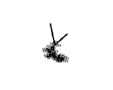 CCCCCCCCCCCCC/C=C/[C@@H](O)[C@H](CO[C@@H]1OC(CO)[C@@H](O[C@@H]2OC(CO)[C@H](O)[C@H](O[C@@H]3OC(CO)[C@@H](O[C@@H]4OC(CO)[C@H](O)[C@H](O[C@@H]5OC(CO)[C@@H](O[C@@H]6OC(CO)[C@H](O)[C@H](O)C6O)[C@H](O)C5NC(C)=O)C4O)[C@H](O)C3NC(C)=O)C2O)[C@H](O)C1O)NC(=O)CCCCCCCCCCCCCCCCCCC